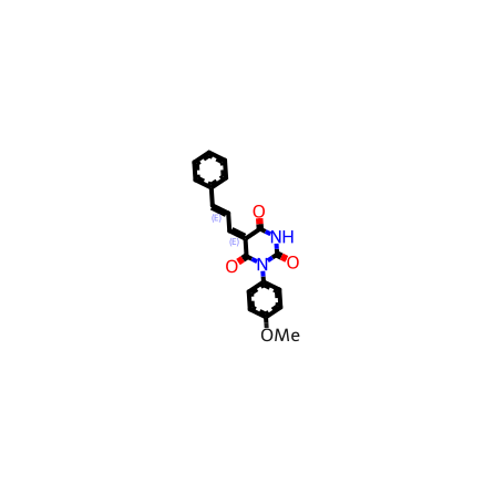 COc1ccc(N2C(=O)NC(=O)/C(=C\C=C\c3ccccc3)C2=O)cc1